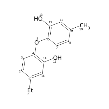 CCc1ccc(Oc2ccc(C)cc2O)c(O)c1